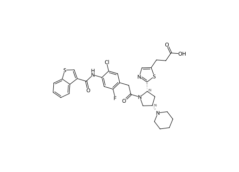 O=C(O)CCc1cnc([C@@H]2C[C@H](N3CCCCC3)CN2C(=O)Cc2cc(Cl)c(NC(=O)c3csc4ccccc34)cc2F)s1